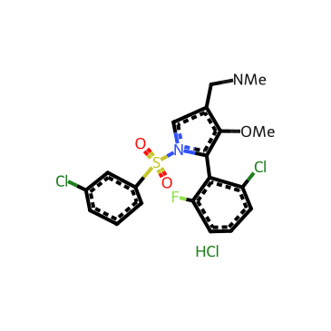 CNCc1cn(S(=O)(=O)c2cccc(Cl)c2)c(-c2c(F)cccc2Cl)c1OC.Cl